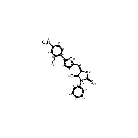 O=C1/C(=C\c2ccc(-c3ccc([N+](=O)[O-])cc3Cl)o2)SC(=S)N1c1ccccc1